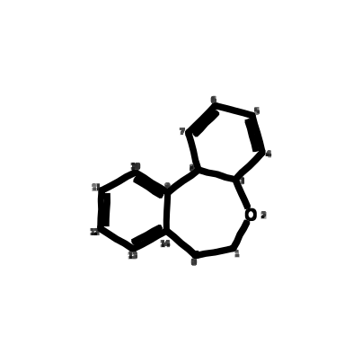 [C]1COC2C=CC=CC2c2ccccc21